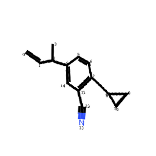 C=C[C](C)c1ccc(C2CC2)c(C#N)c1